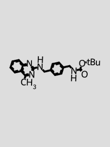 Cc1nc(NCc2ccc(CNC(=O)OC(C)(C)C)cc2)nc2ccccc12